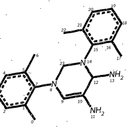 Cc1cccc(C)c1N1C=C(N)C(N)N(c2c(C)cccc2C)C1